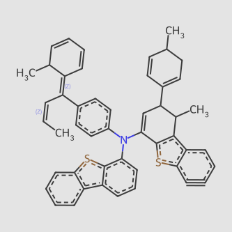 C/C=C\C(=C1\C=CC=CC1C)c1ccc(N(C2=CC(C3=CCC(C)C=C3)C(C)c3c2sc2c#cccc32)c2cccc3c2sc2ccccc23)cc1